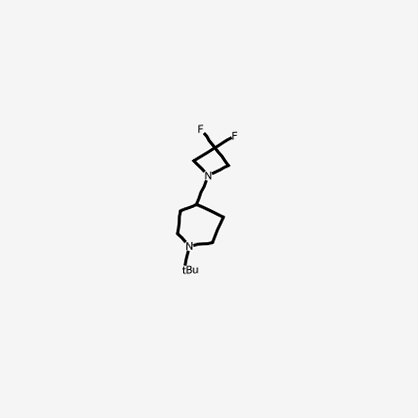 CC(C)(C)N1CCC(N2CC(F)(F)C2)CC1